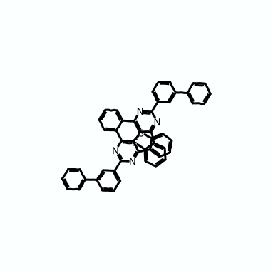 c1ccc(-c2cccc(-c3nc(-c4ccccc4-c4nc(-c5cccc(-c6ccccc6)c5)nc5c4sc4ccccc45)c4sc5ccccc5c4n3)c2)cc1